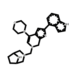 C1=C(N2CCOCC2)c2cc(-c3cccc4[nH]ccc34)sc2CN1CN1CC2CCC(C1)N2